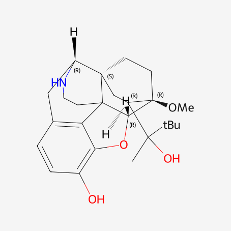 CO[C@]12CC[C@@]3(C[C@@H]1C(C)(O)C(C)(C)C)[C@H]1Cc4ccc(O)c5c4C3(CCN1)[C@H]2O5